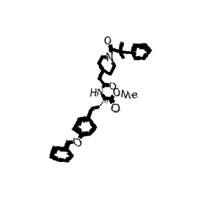 COC(=O)[C@H](CCc1ccc(OCc2ccccc2)cc1)NC(=O)CC1CCN(C(=O)C(C)(C)c2ccccc2)CC1